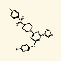 Cc1ccc(S(=O)(=O)N2CCN(c3nc(Oc4ccc(F)cc4)cc(-n4cnnc4)n3)CC2)cc1